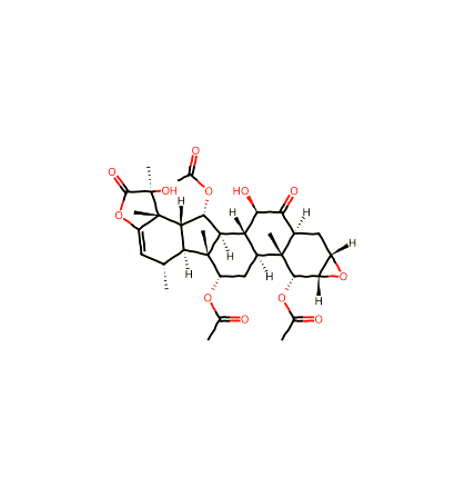 CC(=O)O[C@@H]1[C@H]2[C@@H]3[C@@H](O)C(=O)[C@H]4C[C@@H]5O[C@@H]5[C@H](OC(C)=O)[C@]4(C)[C@H]3C[C@H](OC(C)=O)[C@]2(C)[C@@H]2[C@@H]1[C@]1(C)C(=C[C@H]2C)OC(=O)[C@@]1(C)O